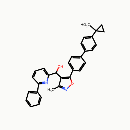 Cc1noc(-c2ccc(-c3ccc(C4(C(=O)O)CC4)cc3)cc2)c1C(O)c1cccc(-c2ccccc2)n1